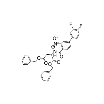 O=C(C[C@@H](NC(=O)c1ccc(-c2ccc(F)c(F)c2)cc1[N+](=O)[O-])C(=O)OCc1ccccc1)OCc1ccccc1